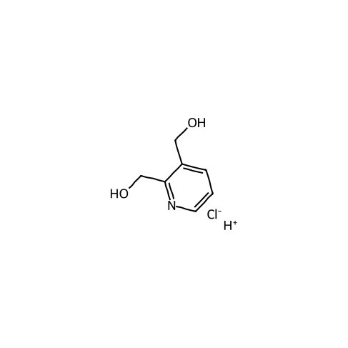 OCc1cccnc1CO.[Cl-].[H+]